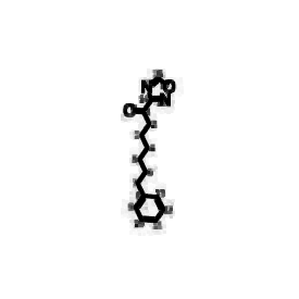 O=C(CCCCCCc1ccccc1)c1ncon1